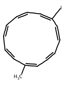 Cc1cccccccc(I)ccccc1